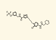 O=C(CC1CCSCC1)Nc1ccn(CCCCn2cc(C(=O)NCc3cccc(OC(F)(F)F)c3)nn2)c(=O)c1